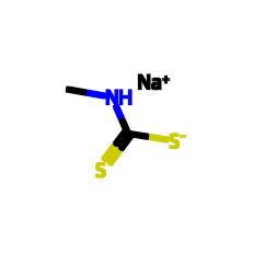 CNC(=S)[S-].[Na+]